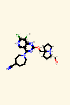 N#CC1CCCN(c2nc(OC[C@@]34CCCN3[C@H](CO)CC4)nc3c(F)c(Cl)ncc23)CC1